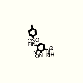 Cc1ccc(S(=O)(=O)Nc2ccc([NH+]([O-])O)c3nonc23)cc1